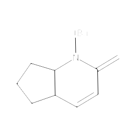 C=C1C=CC2CCCC2N1C(C)(C)C